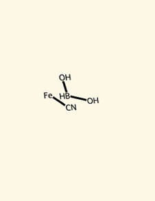 N#[C][Fe].OBO